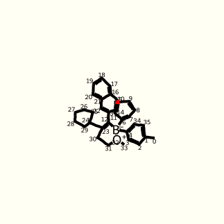 Cc1ccc([B-]2(c3ccccc3)C(c3ccc4ccccc4c3)=C(C3CCCCC3)CC[O+]2C)cc1